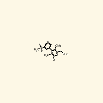 COc1c(CC=O)cc(Cl)c(C)c1-c1cncc(S(C)(=O)=O)c1